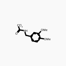 COc1ccc(CNC(=O)C(Cl)(Cl)Cl)cc1OC